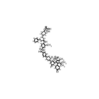 Cc1cc(S(=O)(=O)Nc2ccc(N3CCN(c4cc(F)cc(-c5c(S(C)(=O)=O)c(C)n(C(C)C)c5-c5ccc(Cl)cc5)c4)CC3)cc2)ccc1N[C@H](CCN1CCC(OP(=O)(O)O)CC1)CSc1ccccc1